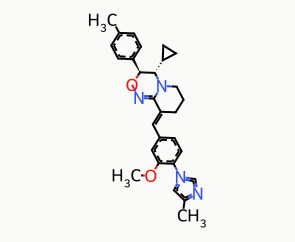 COc1cc(/C=C2\CCCN3C2=NO[C@@H](c2ccc(C)cc2)[C@@H]3C2CC2)ccc1-n1cnc(C)c1